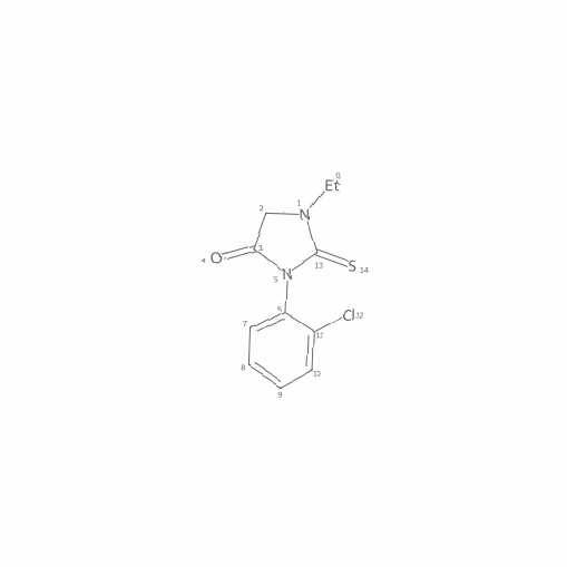 CCN1CC(=O)N(c2ccccc2Cl)C1=S